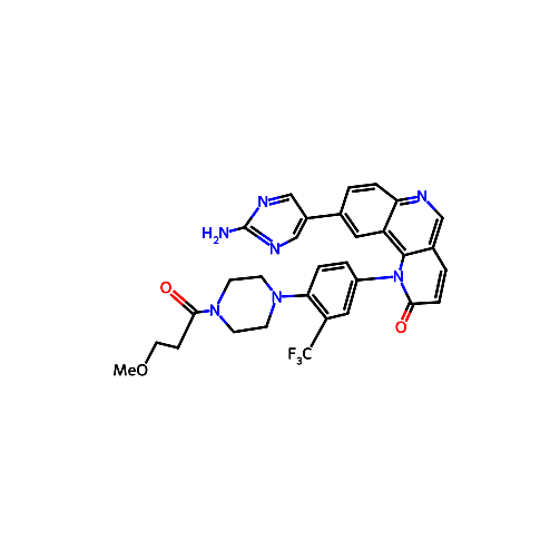 COCCC(=O)N1CCN(c2ccc(-n3c(=O)ccc4cnc5ccc(-c6cnc(N)nc6)cc5c43)cc2C(F)(F)F)CC1